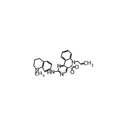 C=CCN1c2ccccc2-c2nc(Nc3ccc4c(c3)N(C)CCC4)ncc2S1(=O)=O